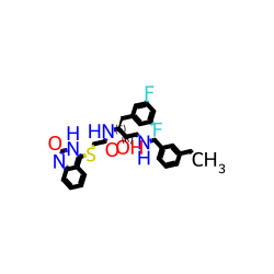 CCc1cccc(CNC[C@@H](O)[C@H](Cc2cc(F)cc(F)c2)NC(=O)CSc2[nH]c(=O)nc3ccccc23)c1